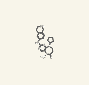 CN1C(=O)CCN(C2CCCC2)c2nc(Nc3ccc4c(c3)CCNC4)ncc21